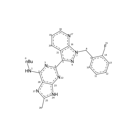 CCCCNc1nc(-c2nn(Cc3ccccc3F)c3ncccc23)nc2[nH]c(C)nc12